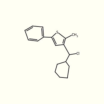 Cc1sc(-c2ccccc2)cc1C(Cl)C1CCCCC1